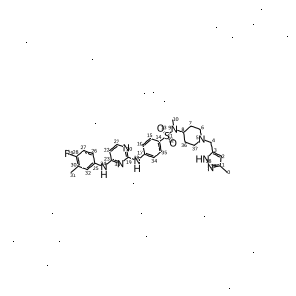 Cc1cc(CN2CCC(N(C)S(=O)(=O)c3ccc(Nc4nccc(Nc5ccc(F)c(C)c5)n4)cc3)CC2)[nH]n1